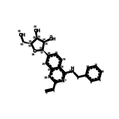 C=Cc1nc(NCc2ccccc2)c2ccc([C@@H]3O[C@H](CO)[C@@H](O)[C@H]3O)cc2n1